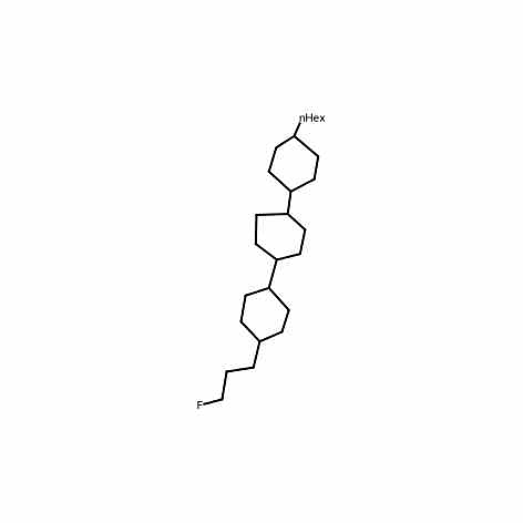 CCCCCCC1CCC(C2CCC(C3CCC(CCCF)CC3)CC2)CC1